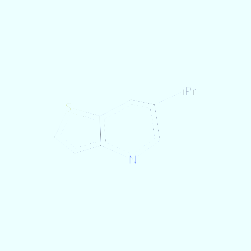 CC(C)c1cnc2ccsc2c1